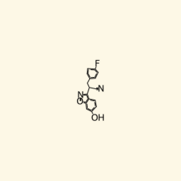 N#CC(Cc1ccc(F)cc1)c1noc2cc(O)ccc12